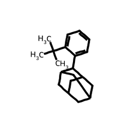 CC(C)(C)c1ccccc1C1C2CC3CC(C2)CC1C3